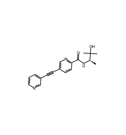 C[C@@H](NC(=O)c1ccc(C#Cc2cccnc2)cn1)C(C)(C)O